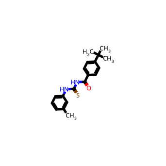 Cc1cccc(NC(=S)NC(=O)c2ccc(C(C)(C)C)cc2)c1